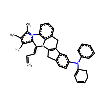 C=C/C=C1/B2C3=C(Cc4cccc(c42)-n2c(C)c(C)c(C)c21)c1cc(N(C2=CC=CCC2)c2ccccc2)ccc1C3